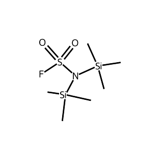 C[Si](C)(C)N([Si](C)(C)C)S(=O)(=O)F